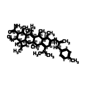 C=C(Nc1ccc(C)cc1)Nc1cc(N(C)C)c2c(c1C)C(=C)C1=C(C)[C@]3(O)C(=C)C(C(N)=O)C(N=O)[C@H]4C(C)C[C@]43C[C@]1(C)C2